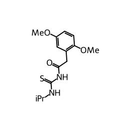 COc1ccc(OC)c(CC(=O)NC(=S)NC(C)C)c1